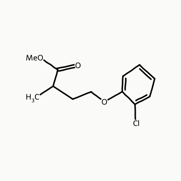 COC(=O)C(C)CCOc1ccccc1Cl